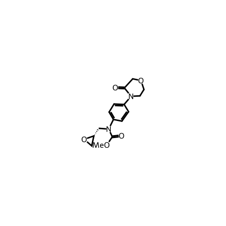 COC(=O)N(C[C@@H]1CO1)c1ccc(N2CCOCC2=O)cc1